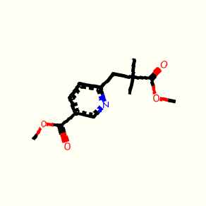 COC(=O)c1ccc(CC(C)(C)C(=O)OC)nc1